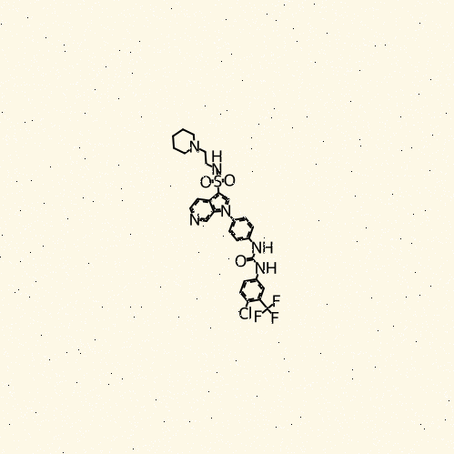 O=C(Nc1ccc(-n2cc(S(=O)(=O)NCCN3CCCCC3)c3ccncc32)cc1)Nc1ccc(Cl)c(C(F)(F)F)c1